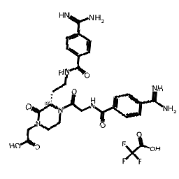 N=C(N)c1ccc(C(=O)NCC[C@H]2C(=O)N(CC(=O)O)CCN2C(=O)CNC(=O)c2ccc(C(=N)N)cc2)cc1.O=C(O)C(F)(F)F